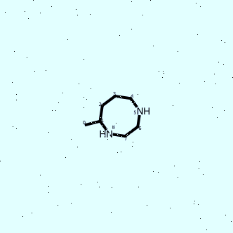 CC1CCCNCCN1